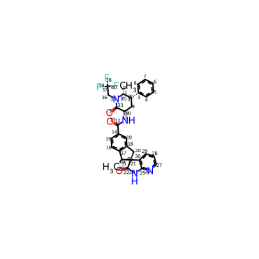 C[C@@H]1[C@H](c2ccccc2)C[C@H](NC(=O)c2ccc3c(c2)C[C@@]2(C(=O)Nc4ncccc42)[C@H]3C)C(=O)N1CC(F)(F)F